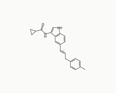 Cc1ccc(C/C=C/c2ccc3[nH]cc(NC(=O)C4CC4)c3c2)cc1